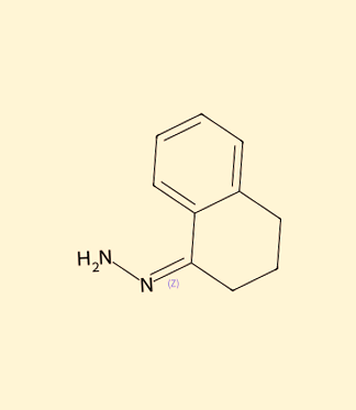 N/N=C1/CCCc2ccccc21